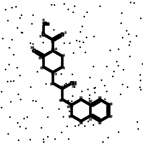 CC(C)(C)OC(=O)N1CCN(CC(O)CN2CCc3ccccc3C2)CC1=O